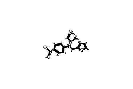 O=[N+]([O-])c1ccc(N(Cc2cccs2)n2cnnc2)cc1